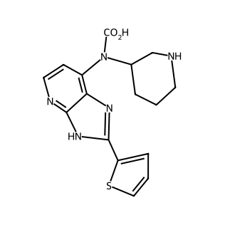 O=C(O)N(c1ccnc2[nH]c(-c3cccs3)nc12)C1CCCNC1